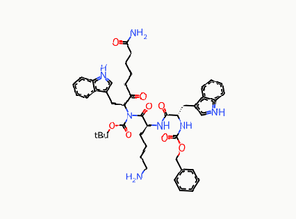 CC(C)(C)OC(=O)N(C(=O)[C@H](CCCCN)NC(=O)[C@H](Cc1c[nH]c2ccccc12)NC(=O)OCc1ccccc1)[C@@H](Cc1c[nH]c2ccccc12)C(=O)CCCCC(N)=O